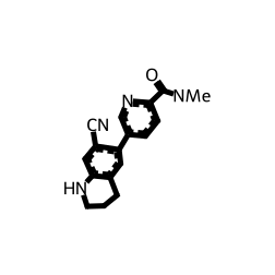 CNC(=O)c1ccc(-c2cc3c(cc2C#N)NCCC3)cn1